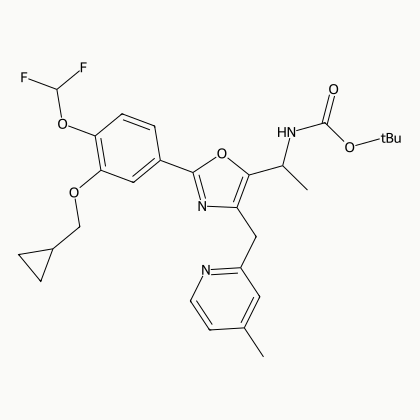 Cc1ccnc(Cc2nc(-c3ccc(OC(F)F)c(OCC4CC4)c3)oc2C(C)NC(=O)OC(C)(C)C)c1